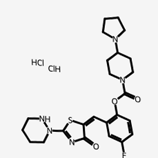 Cl.Cl.O=C1N=C(N2CCCCN2)S/C1=C/c1cc(F)ccc1OC(=O)N1CCC(N2CCCC2)CC1